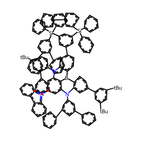 CC(C)(C)c1cc(-c2ccc3c(c2)N(c2cc(-c4ccccc4)cc(-c4ccccc4)c2)c2cc(-n4c5ccccc5c5ccccc54)cc4c2B3c2ccc(-c3cc([Si](c5ccccc5)(c5ccccc5)c5cccc(-c6ccccc6)c5)cc([Si](c5ccccc5)(c5ccccc5)c5ccc(-c6ccccc6)c(-c6ccccc6)c5)c3)cc2N4c2ccc(C(C)(C)C)cc2-c2ccccc2)cc(C(C)(C)C)c1